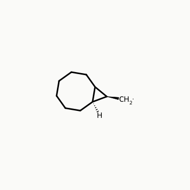 [CH2][C@@H]1C2CCCCCC[C@@H]21